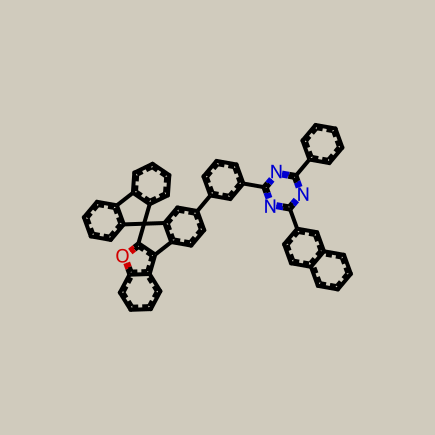 c1ccc(-c2nc(-c3cccc(-c4ccc5c(c4)C4(c6ccccc6-c6ccccc64)c4oc6ccccc6c4-5)c3)nc(-c3ccc4ccccc4c3)n2)cc1